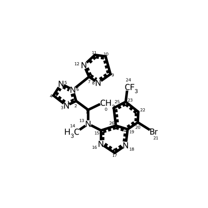 CC(c1ncnn1-c1ncccn1)N(C)c1ncnc2c(Br)cc(C(F)(F)F)cc12